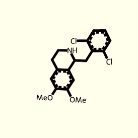 COc1cc2c(cc1OC)C(Cc1c(Cl)cccc1Cl)NCC2